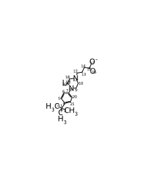 CC(C)(C)c1ccc(N2CCN(CCCC(=O)[O-])CC2)cc1.[Li+]